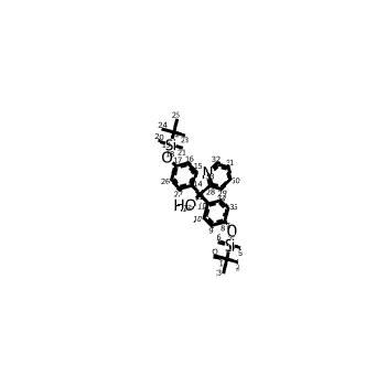 CC(C)(C)[Si](C)(C)Oc1ccc(C(O)(c2ccc(O[Si](C)(C)C(C)(C)C)cc2)c2ccccn2)cc1